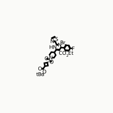 CCOC(=O)C1=C(C2CCN(S(=O)(=O)C3CC(C(=O)OC(C)(C)C)C3)CC2)NC(c2nccs2)=NC1c1ccc(F)cc1Br